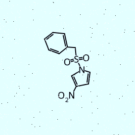 O=[N+]([O-])c1ccn(S(=O)(=O)Cc2ccccc2)c1